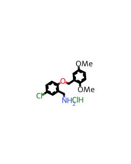 COc1ccc(OC)c(COc2ccc(Cl)cc2CN)c1.Cl